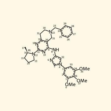 COc1cc(-n2cnc(Nc3nc(N4CCC[C@H]4C)nc4c3CN(Cc3ccccc3)CC4)c2)cc(OC)c1OC